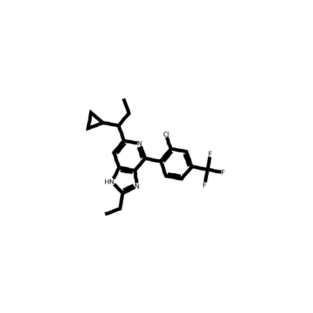 CCc1nc2c(-c3ccc(C(F)(F)F)cc3Cl)nc(C(CC)C3CC3)cc2[nH]1